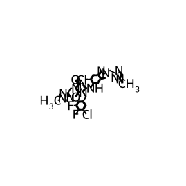 Cn1cnc(Cn2cc3cc(Nc4nc(=O)n(Cc5ncn(C)n5)c(=O)n4Cc4cc(F)c(F)c(Cl)c4)c(Cl)cc3n2)n1